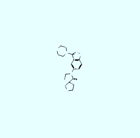 O=C1N(c2ccc3[nH]nc(N4CCOCC4)c3c2)CC[C@]12CCNC2